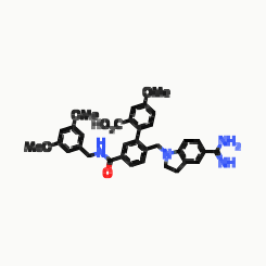 COc1cc(CNC(=O)c2ccc(CN3CCc4cc(C(=N)N)ccc43)c(-c3ccc(OC)cc3C(=O)O)c2)cc(OC)c1